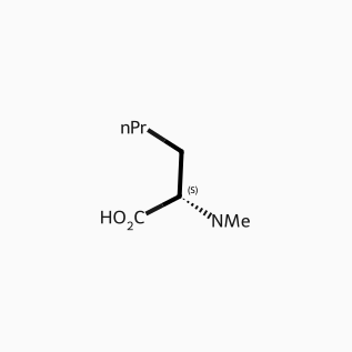 CCCC[C@H](NC)C(=O)O